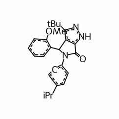 COc1ccccc1C1c2c(C(C)(C)C)n[nH]c2C(=O)N1c1ccc(C(C)C)cc1